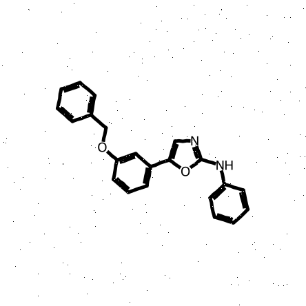 c1ccc(COc2cccc(-c3cnc(Nc4ccccc4)o3)c2)cc1